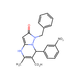 CC1=C(C(=O)O)C(c2cccc([N+](=O)[O-])c2)n2c(cc(=O)n2Cc2ccccc2)N1